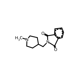 CN1CCC(CN2C(=O)c3ccccc3C2=O)CC1